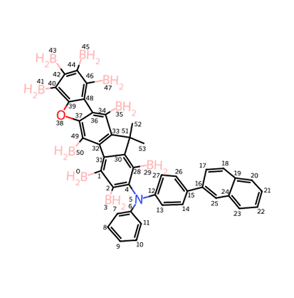 Bc1c(B)c(N(c2ccccc2)c2ccc(-c3ccc4ccccc4c3)cc2)c(B)c2c1-c1c(c(B)c3c(oc4c(B)c(B)c(B)c(B)c43)c1B)C2(C)C